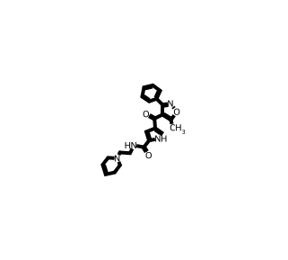 Cc1onc(-c2ccccc2)c1C(=O)c1c[nH]c(C(=O)NCCN2CC=CCC2)c1